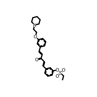 CCS(=O)(=O)Oc1cccc(/C=C/C(=O)/C=C/c2cccc(OCCN3CCCCC3)c2)c1